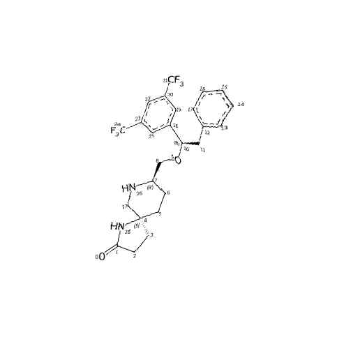 O=C1CC[C@]2(CC[C@H](CO[C@H](Cc3ccccc3)c3cc(C(F)(F)F)cc(C(F)(F)F)c3)NC2)N1